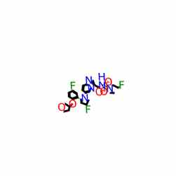 CCN(CCF)S(=O)(=O)NC(=O)c1cnc2ccc(N3C[C@@H](F)C[C@@H]3c3cc(F)ccc3OC3CCOC3)cn12